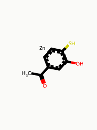 CC(=O)c1ccc(S)c(O)c1.[Zn]